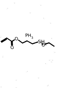 C=CC(=O)OCCC[SiH2]OCC.P